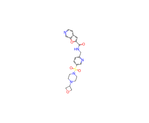 O=C(NCc1ccc(S(=O)(=O)N2CCN(C3COC3)CC2)cn1)c1cc2ccncc2o1